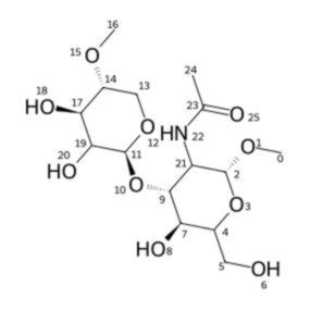 CO[C@@H]1OC(CO)[C@@H](O)[C@H](O[C@@H]2OC[C@@H](OC)[C@H](O)C2O)C1NC(C)=O